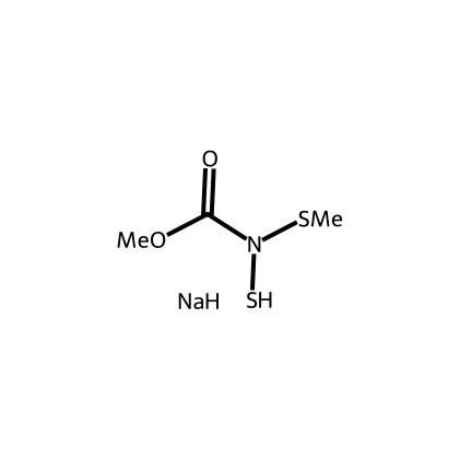 COC(=O)N(S)SC.[NaH]